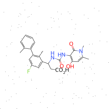 Cc1ccccc1-c1cc(F)cc(C(CC(=O)O)NC(=O)Nc2c(O)cc(C)n(C)c2=O)c1C